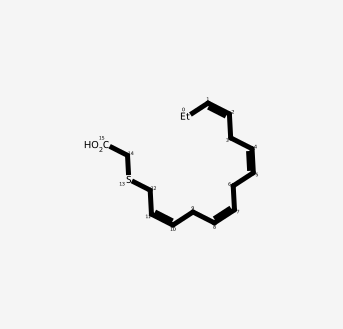 CC/C=C\C/C=C\C/C=C\C/C=C\CSCC(=O)O